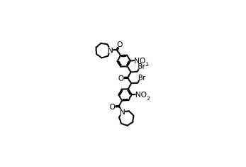 O=C(C(CBr)c1ccc(C(=O)N2CCCCCC2)cc1[N+](=O)[O-])C(CBr)c1ccc(C(=O)N2CCCCCC2)cc1[N+](=O)[O-]